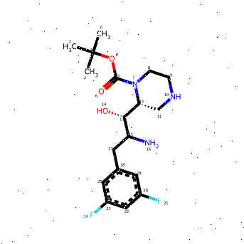 CC(C)(C)OC(=O)N1CCNC[C@@H]1[C@@H](O)C(N)Cc1cc(F)cc(F)c1